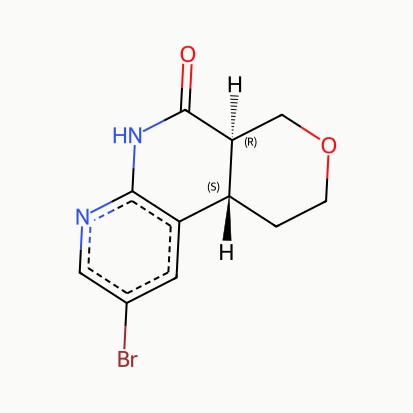 O=C1Nc2ncc(Br)cc2[C@H]2CCOC[C@H]12